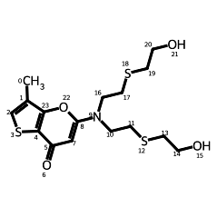 Cc1csc2c(=O)cc(N(CCSCCO)CCSCCO)oc12